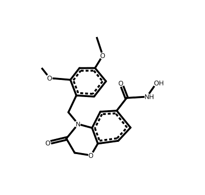 COc1ccc(CN2C(=O)COc3ccc(C(=O)NO)cc32)c(OC)c1